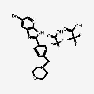 Brc1cnc2[nH]c(-c3ccc(CN4CCOCC4)cc3)nc2c1.O=C(O)C(F)(F)F.O=C(O)C(F)(F)F